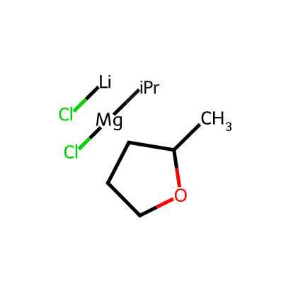 CC1CCCO1.C[CH](C)[Mg][Cl].[Li][Cl]